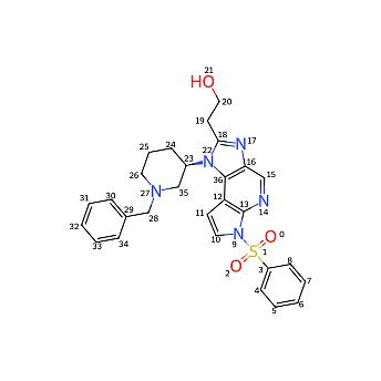 O=S(=O)(c1ccccc1)n1ccc2c1ncc1nc(CCO)n([C@@H]3CCCN(Cc4ccccc4)C3)c12